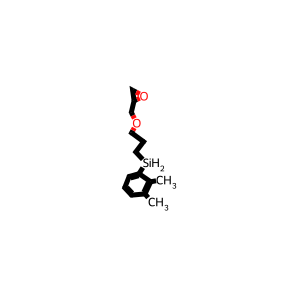 Cc1cccc([SiH2]CCCOCC2CO2)c1C